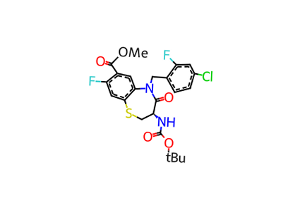 COC(=O)c1cc2c(cc1F)SC[C@H](NC(=O)OC(C)(C)C)C(=O)N2Cc1ccc(Cl)cc1F